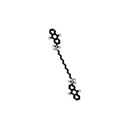 O=C1c2ccccc2C(=O)c2cc(S(=O)(=O)NCCCCCCCCCCCCNS(=O)(=O)c3ccc4c(c3)C(=O)c3ccccc3C4=O)ccc21